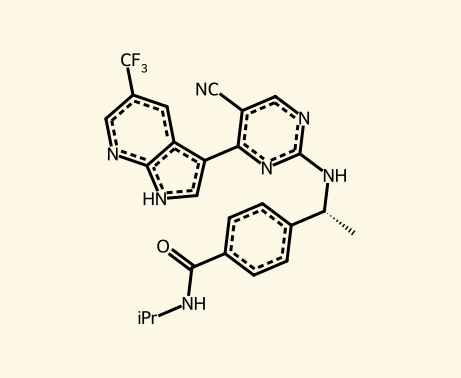 CC(C)NC(=O)c1ccc([C@@H](C)Nc2ncc(C#N)c(-c3c[nH]c4ncc(C(F)(F)F)cc34)n2)cc1